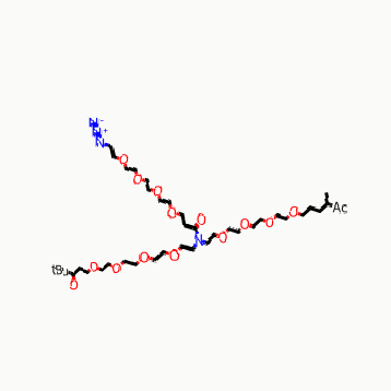 CC(=O)C(C)CCCOCCOCCOCCOCCN(CCOCCOCCOCCOCCC(=O)C(C)(C)C)C(=O)CCOCCOCCOCCOCCN=[N+]=[N-]